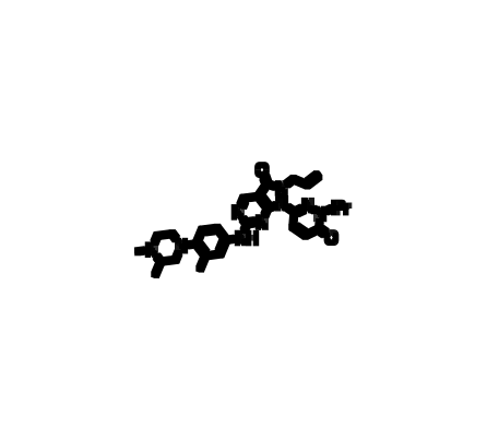 C=CCn1c(=O)c2cnc(Nc3ccc(N4CCN(C)C(C)C4)c(C)c3)nc2n1-c1ccc(=O)n(C(C)C)n1